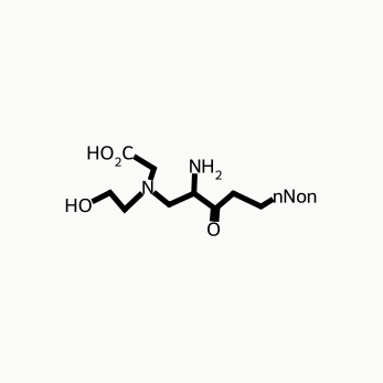 CCCCCCCCCCCC(=O)C(N)CN(CCO)CC(=O)O